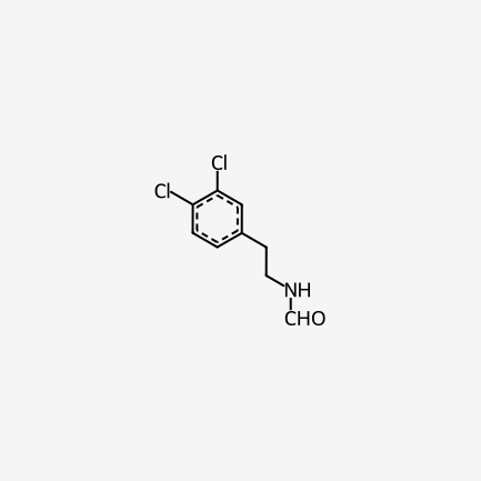 O=CNCCc1ccc(Cl)c(Cl)c1